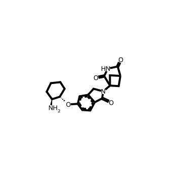 N[C@H]1CCCC[C@@H]1Oc1ccc2c(c1)CN(C13CC(C1)C(=O)NC3=O)C2=O